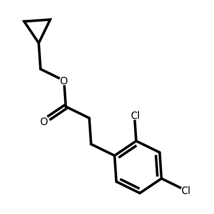 O=C(CCc1ccc(Cl)cc1Cl)OCC1CC1